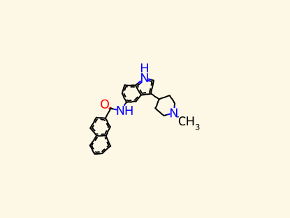 CN1CCC(c2c[nH]c3ccc(NC(=O)c4ccc5ccccc5c4)cc23)CC1